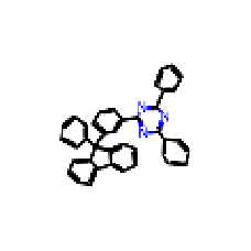 c1ccc(-c2nc(-c3ccccc3)nc(-c3cccc(C4(c5ccccc5)c5ccccc5-c5ccccc54)c3)n2)cc1